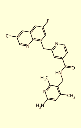 Cc1cc(N)nc(C)c1CNC(=O)c1ccnc(Cc2cc(F)cc3cc(Cl)cnc23)c1